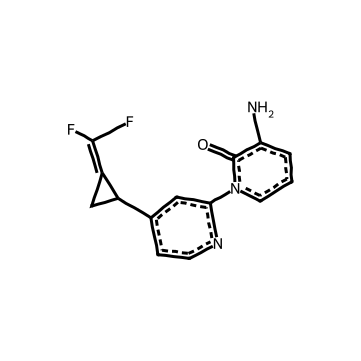 Nc1cccn(-c2cc(C3CC3=C(F)F)ccn2)c1=O